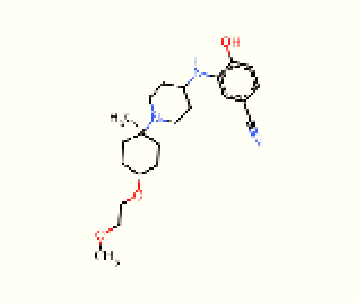 COCCO[C@H]1CC[C@@](C)(N2CCC(Nc3cc(C#N)ccc3O)CC2)CC1